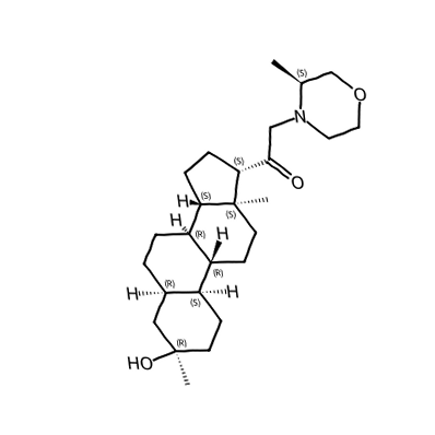 C[C@H]1COCCN1CC(=O)[C@H]1CC[C@H]2[C@@H]3CC[C@@H]4C[C@](C)(O)CC[C@@H]4[C@H]3CC[C@]12C